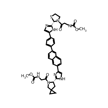 COC(=O)NCC(=O)N1CC2(CC2)C[C@H]1c1nc(-c2ccc3cc(-c4ccc(-c5cnc([C@@H]6SCCN6C(=O)CNC(=O)OC)[nH]5)cc4)ccc3c2)c[nH]1